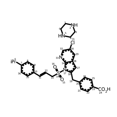 C1CNCCN1.CC(C)c1ccc(C=CCS(=O)(=O)n2c(Cc3ccc(C(=O)O)cc3)cc3cc(Cl)cnc32)cc1